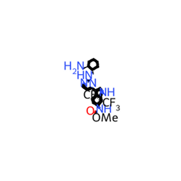 COC(=O)Nc1ccc2c(-c3nc(NC[C@H]4CCCC[C@@H]4CN)ncc3C(F)(F)F)c[nH]c2c1C(F)(F)F